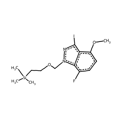 COc1ccc(F)c2c1c(I)nn2COCC[Si](C)(C)C